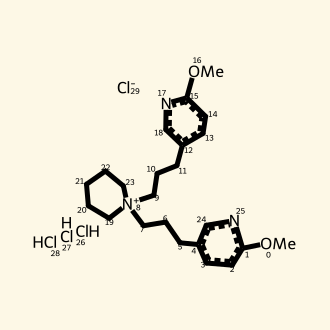 COc1ccc(CCC[N+]2(CCCc3ccc(OC)nc3)CCCCC2)cn1.Cl.Cl.Cl.[Cl-]